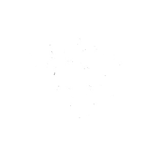 Cc1cc(C(C)Nc2ccc(Cl)nc2C(=O)O)c2nc(N3C[C@@H]4C(CO)[C@@H]4C3)n(C)c(=O)c2c1